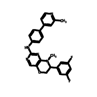 Cc1cc(-c2ccc(Nc3ncc4c(n3)N(C)C(c3cc(F)cc(F)c3)CO4)cc2)ccn1